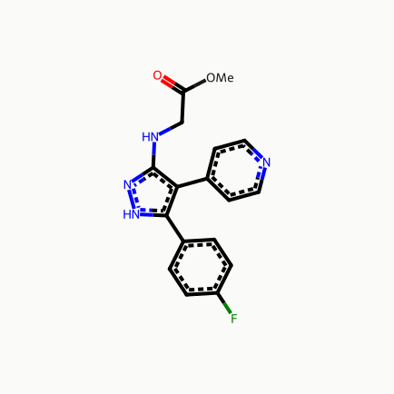 COC(=O)CNc1n[nH]c(-c2ccc(F)cc2)c1-c1ccncc1